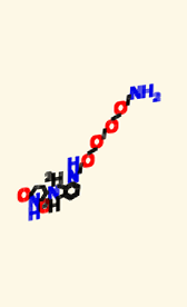 [2H]C1c2cccc(NCCOCCOCCOCCOCCN)c2C([2H])N1C1CCC(=O)NC1=O